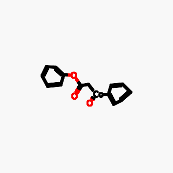 O=C([CH2][Co](=[O])[c]1ccccc1)Oc1ccccc1